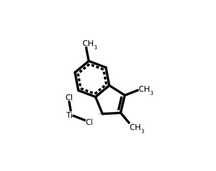 CC1=C(C)c2cc(C)ccc2[CH]1.[Cl][Ti][Cl]